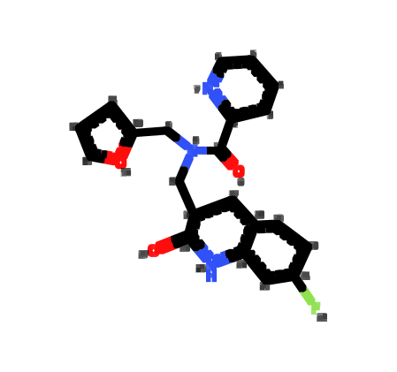 O=C(c1ccccn1)N(Cc1ccco1)Cc1cc2ccc(F)cc2[nH]c1=O